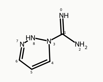 N=C(N)N1C=CC=NN1